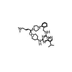 CC(C)c1cnn2c(NCc3ccccc3N3CCN(C(=O)C=CCN(C)C)CC3)nc(NC3CCOCC3)nc12